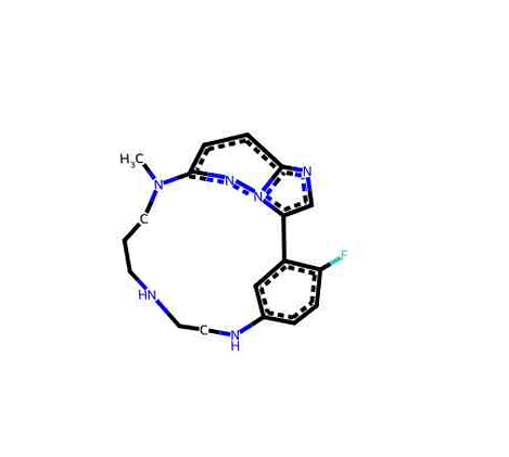 CN1CCCNCCNc2ccc(F)c(c2)-c2cnc3ccc1nn23